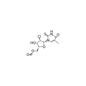 Cc1cn([C@H]2O[C@@H](COP=O)C(O)[C@H]2Cl)c(=S)[nH]c1=O